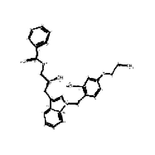 CCCOc1ccc(Cn2cc(C[C@H](O)COC(=O)c3ccccc3)c3ccccc32)c(O)c1